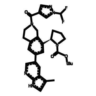 Cc1c[nH]c2ncc(-c3cc4c(c([C@@H]5CCCN5C(=O)OC(C)(C)C)c3)CN(C(=O)c3cnn(C(F)F)c3)CC4)cc12